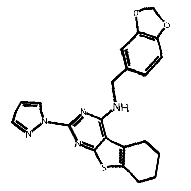 c1cnn(-c2nc(NCc3ccc4c(c3)OCO4)c3c4c(sc3n2)CCCC4)c1